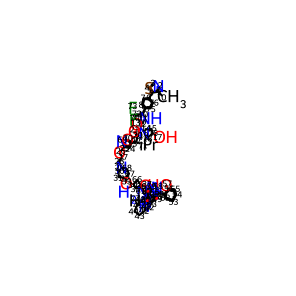 Cc1ncsc1-c1ccc([C@@H](NC(=O)[C@@H]2C[C@@H](O)CN2C(=O)[C@H](c2cc(OCCN3CCC(OC4CC(Oc5cc(N6C7CC[C@@H]6CN(c6cc(-c8ccccc8O)nnc6N)C7)ccn5)C4)CC3)no2)C(C)C)C(F)F)cc1